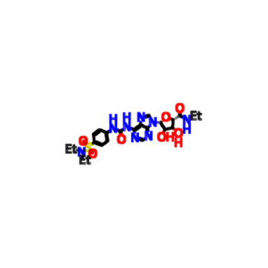 CCNC(=O)[C@H]1O[C@@H](n2cnc3c(NC(=O)Nc4ccc(S(=O)(=O)N(CC)CC)cc4)ncnc32)C(O)C1O